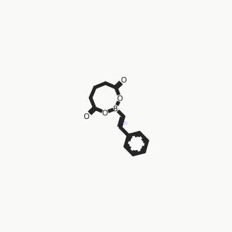 O=C1CCCC(=O)OB(/C=C/c2ccccc2)O1